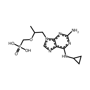 CC(Cn1cnc2c(NC3CC3)nc(N)nc21)OCP(=O)(O)O